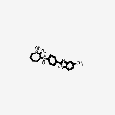 Cc1ccc2[nH]c(-c3ccc(S(=O)(=O)C4CCCCN(O)C4=O)cc3)nc2c1